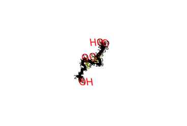 CC(C)(CO)CCCCC1CCC(=O)C(C=CC2CCCC(CCCCC(C)(C)C(=O)O)[S+]2[O-])S1